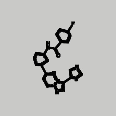 O=C(Nc1cccc(-c2ccc3nnc(-c4cncs4)n3n2)c1)c1ccc(F)cc1